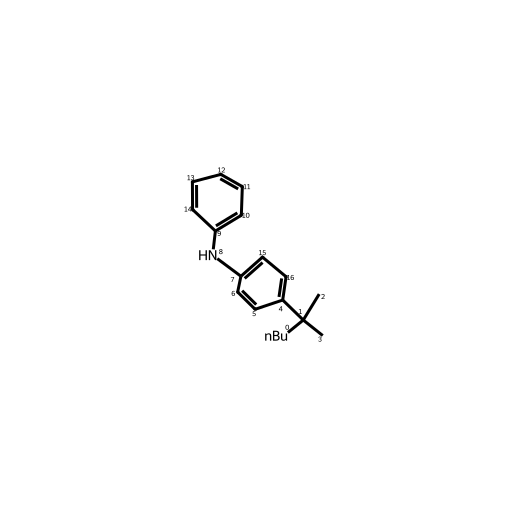 CCCCC(C)(C)c1ccc(Nc2ccccc2)cc1